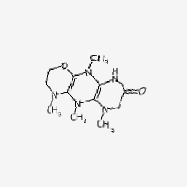 CN1CC(=O)NC2=C1N(C)C1=C(OCCN1C)N2C